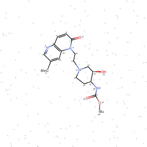 COc1cnc2ccc(=O)n(CCN3CCC(NC(=O)OC(C)(C)C)[C@H](O)C3)c2c1